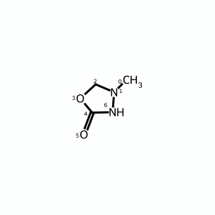 CN1COC(=O)N1